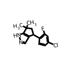 CC1(C)CC(c2ccc(Cl)cc2F)c2cn[nH]c21